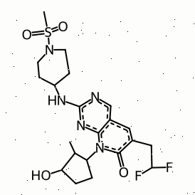 CC1C(O)CCC1n1c(=O)c(CC(F)F)cc2cnc(NC3CCN(S(C)(=O)=O)CC3)nc21